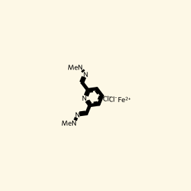 CNN=Cc1cccc(C=NNC)n1.[Cl-].[Cl-].[Fe+2]